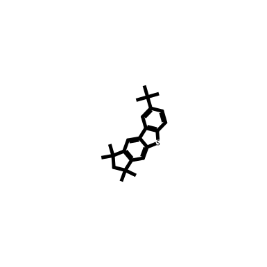 CC(C)(C)c1ccc2sc3cc4c(cc3c2c1)C(C)(C)CC4(C)C